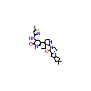 CCc1c(-c2cc(Nc3cc(C)sn3)c(=O)n(C)c2)ccnc1N1CCn2c(cc3c2CC(C)(C)C3)C1=O